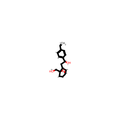 C=Cc1ccc(C(O)CC2CC3CCC2(CO)O3)cc1